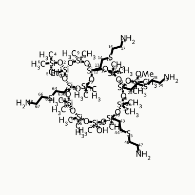 CC[Si]1(O[Si](C)(C)C)O[Si](C)(C)O[Si]2(CCSCCN)O[Si](C)(C)O[Si](CCSCCN)(O[Si](C)(C)OC)O[Si](C)(C)O[Si](C)(CCSCCN)O[Si](C)(O)O[Si](C)(C)O[Si](C)(C)O[Si](CCSCCN)(O[Si](C)(C)O2)O1